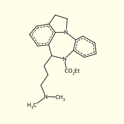 CCOC(=O)N1c2ccccc2N2CCc3cccc(c32)C1CCCN(C)C